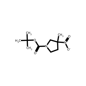 CC(C)(C)OC(=O)N1CCC(C)([N+](=O)[O-])C1